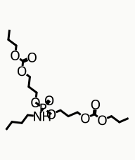 CCCCNP(=O)(OCCCOC(=O)OCCC)OCCCOC(=O)OCCC